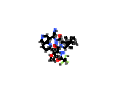 COC(C)(C)C(NC(=O)C(F)(F)F)C(=O)N1C[C@H]2[C@@H]([C@H]1C(=O)NC(C#N)c1cncc3cccnc13)C2(C)C